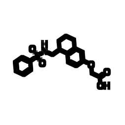 O=C(O)COc1ccc2c(c1)CCCC2CNS(=O)(=O)c1ccccc1